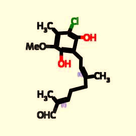 COc1c(C)c(Cl)c(O)c(C/C=C(\C)CC/C=C(\C)C=O)c1O